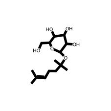 CC(C)=CCCC(C)(C)OC1OC(CO)C(O)C(O)C1O